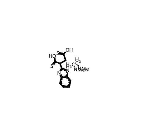 CNC.CNC.OC(=S)CC(C(O)=S)c1nc2ccccc2[nH]1